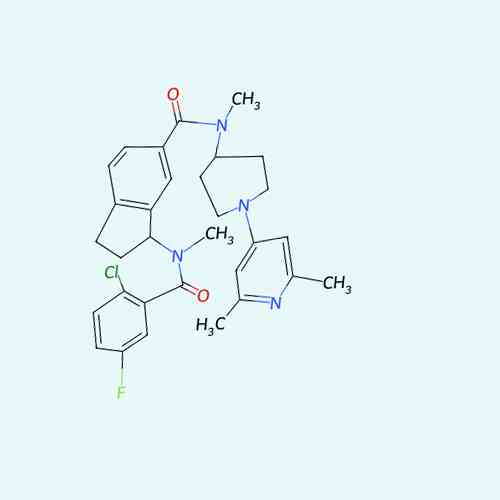 Cc1cc(N2CCC(N(C)C(=O)c3ccc4c(c3)C(N(C)C(=O)c3cc(F)ccc3Cl)CC4)CC2)cc(C)n1